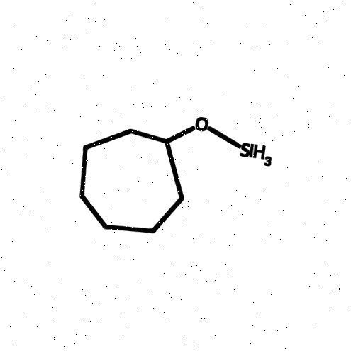 [SiH3]OC1CCCCCC1